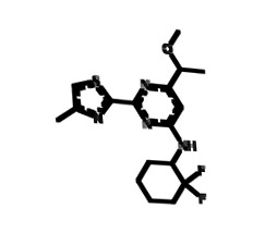 COC(C)c1cc(NC2CCCCC2(F)F)nc(-c2nc(C)cs2)n1